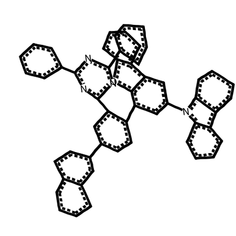 c1ccc(-c2nc(-c3ccccc3)nc(-c3cc(-c4ccc5ccccc5c4)ccc3-c3cc(-n4c5ccccc5c5ccccc54)cc4c3oc3ccccc34)n2)cc1